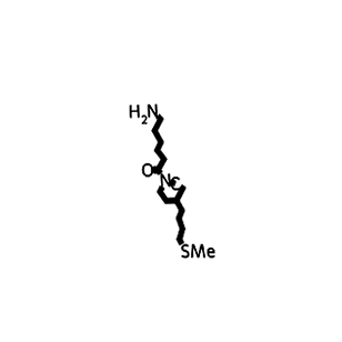 CSCCCCC1CCN(C(=O)CCCCCN)CC1